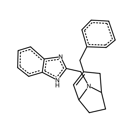 C1=C(Cc2ccccc2)CC2CCC1N2Cc1nc2ccccc2[nH]1